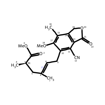 COC(=O)[C@H](C)C/C(C)=C/Cc1c(C#N)c2c(c(C)c1OC)COC2=O